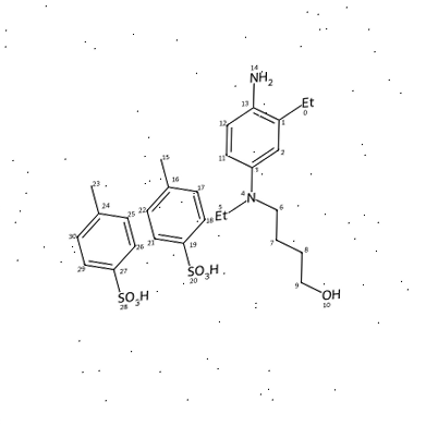 CCc1cc(N(CC)CCCCO)ccc1N.Cc1ccc(S(=O)(=O)O)cc1.Cc1ccc(S(=O)(=O)O)cc1